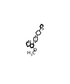 COc1cc(N2CCN(C3CCC(c4cccs4)CC3)CC2)c2ncccc2c1